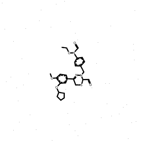 CCON(C=O)c1ccc(CN2N=C(c3ccc(OC)c(OC4CCCC4)c3)CSC2C=O)cc1